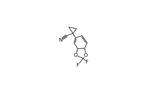 N#CC1(C2=CC3OC(F)(F)OC3C=C2)CC1